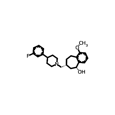 COc1cccc2c1CC[C@@H](CN1CCC(c3cccc(F)c3)CC1)C[C@H]2O